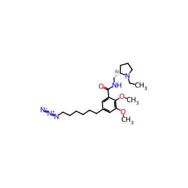 CCN1CCC[C@H]1CNC(=O)c1cc(CCCCCCN=[N+]=[N-])cc(OC)c1OC